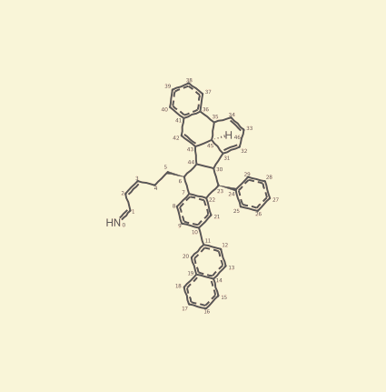 N=C/C=C\CC[C@@H]1c2ccc(-c3ccc4ccccc4c3)cc2[C@H](c2ccccc2)C2C3=CC=CC4c5ccccc5C=C(C21)[C@H]34